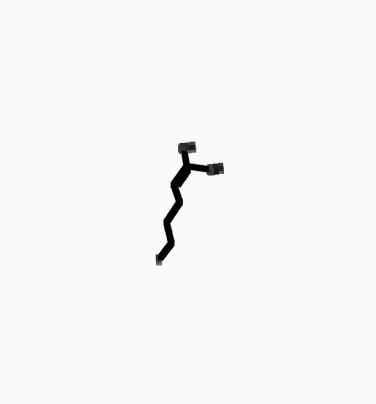 OC(O)=CCCCI